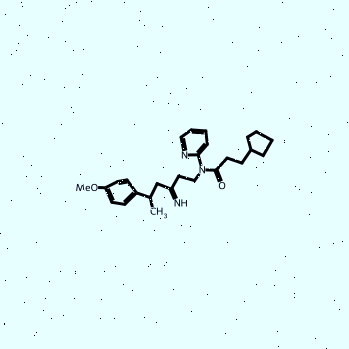 COc1ccc(C(C)CC(=N)CCN(C(=O)CCC2CCCC2)c2ccccn2)cc1